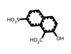 O=C(O)c1c(O)ccc2ccc(S(=O)(=O)O)cc12